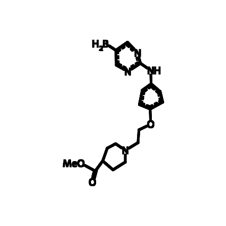 Bc1cnc(Nc2ccc(OCCN3CCC(C(=O)OC)CC3)cc2)nc1